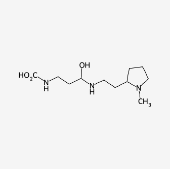 CN1CCCC1CCNC(O)CCNC(=O)O